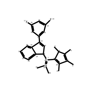 CC1=C(C)C(C)[C]([Zr]([CH]2C=C(c3cc(F)cc(F)c3)c3ccccc32)=[Si](C)C)=C1C